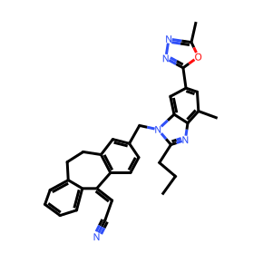 CCCc1nc2c(C)cc(-c3nnc(C)o3)cc2n1Cc1ccc2c(c1)CCc1ccccc1C2=CC#N